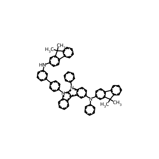 CC1(C)c2ccccc2-c2ccc(Nc3cccc(-c4ccc(-n5c6ccccc6c6c7cc(N(c8ccccc8)c8ccc9c(c8)C(C)(C)c8ccccc8-9)ccc7n(-c7ccccc7)c65)cc4)c3)cc21